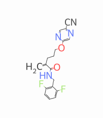 C=C(CCCOc1cnc(C#N)cn1)C(=O)NCc1c(F)cccc1F